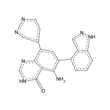 Nc1c(-c2cccc3[nH]ncc23)cc(-c2ccnnc2)c2nc[nH]c(=O)c12